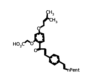 CCCCCC=Cc1ccc(C=CC(=O)c2ccc(OCC=C(C)C)cc2OCC(=O)O)cc1